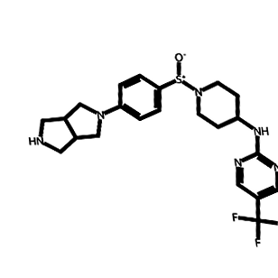 [O-][S+](c1ccc(N2CC3CNCC3C2)cc1)N1CCC(Nc2ncc(C(F)(F)F)c(O)n2)CC1